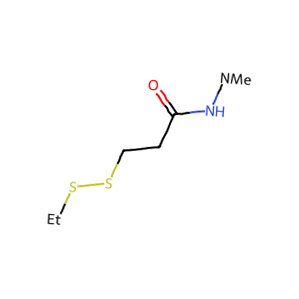 CCSSCCC(=O)NNC